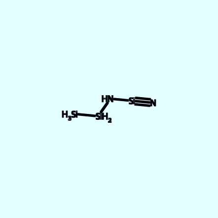 N#[Si]N[SiH2][SiH3]